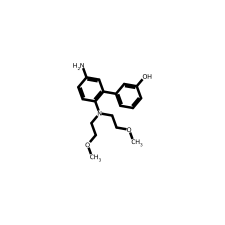 COCCN(CCOC)c1ccc(N)cc1-c1cccc(O)c1